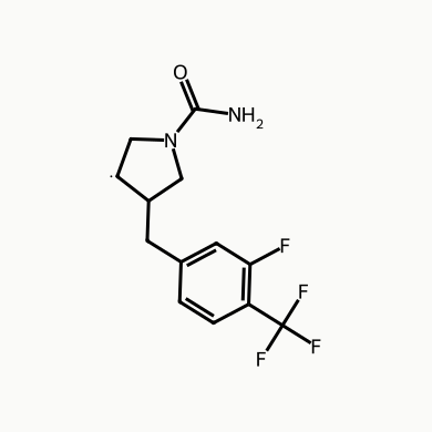 NC(=O)N1C[CH]C(Cc2ccc(C(F)(F)F)c(F)c2)C1